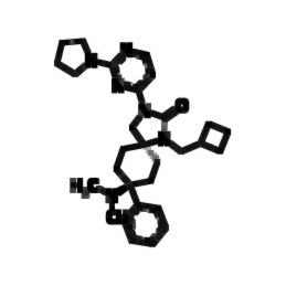 CN(C)[C@]1(c2ccccc2)CC[C@]2(CC1)CN(c1ccnc(N3CCCC3)n1)C(=O)N2CC1CCC1